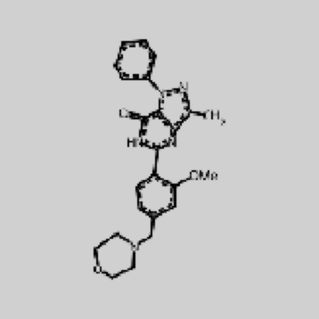 COc1cc(CN2CCOCC2)ccc1-c1nc2c(C)nn(-c3ccccc3)c2c(=O)[nH]1